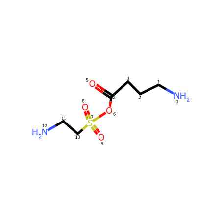 NCCCC(=O)OS(=O)(=O)CCN